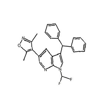 Cc1noc(C)c1-c1cnc2c(c1)c(C(c1ccccc1)c1ccccc1)cn2C(F)F